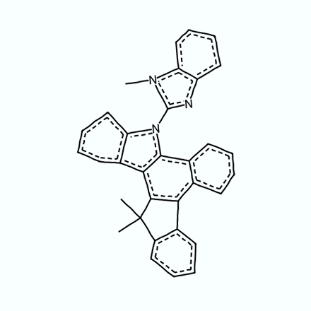 Cn1c(-n2c3ccccc3c3c4c(c5ccccc5c32)-c2ccccc2C4(C)C)nc2ccccc21